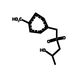 CC(O)CS(=O)(=O)Cc1ccc(C(=O)O)cc1